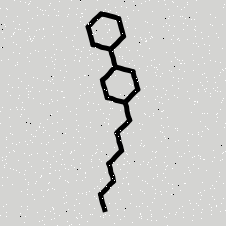 CCCCCCCC1CCC(C2CCCCC2)CC1